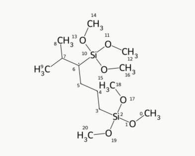 CO[Si](CCC[C](C(C)C)[Si](OC)(OC)OC)(OC)OC